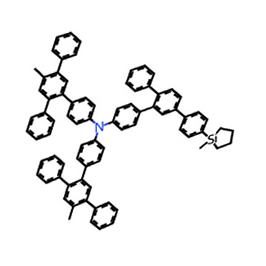 Cc1cc(-c2ccccc2)c(-c2ccc(N(c3ccc(-c4cc(-c5ccc([Si]6(C)CCCC6)cc5)ccc4-c4ccccc4)cc3)c3ccc(-c4cc(-c5ccccc5)c(C)cc4-c4ccccc4)cc3)cc2)cc1-c1ccccc1